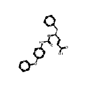 O=C(O)/C=C/[C@H](Cc1ccccc1)NC(=O)Nc1ccc(Oc2ccccc2)cc1